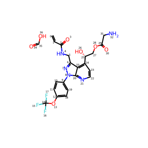 C=CC(=O)NCc1nn(-c2ccc(OC(F)(F)F)cc2)c2nccc([C@H](O)COC(=O)CN)c12.O=CO